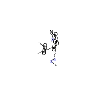 CC/C=C\CC1C(CC(=O)OCCC(CCCCCCCC/C=C\C/C=C\CCCCC)OC(=O)CCCCC(COC(=O)CCCCC)COC(=O)CCCCC)CCC1OC(=O)C1CCN(C)C1